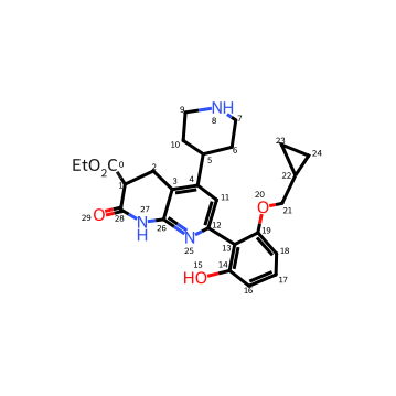 CCOC(=O)C1Cc2c(C3CCNCC3)cc(-c3c(O)cccc3OCC3CC3)nc2NC1=O